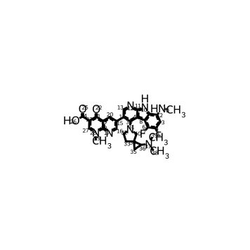 CNc1cc(F)c(F)c2c1[nH]c1ncc(-c3cnc4c(c3)c(=O)c(C(=O)O)cn4C)c(N3CCC4(CC4N(C)C)C3)c12